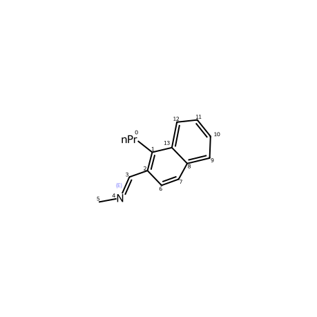 CCCc1c(/C=N/C)ccc2ccccc12